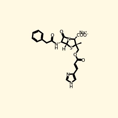 C[C@@]1(COC(=O)/C=C/c2c[nH]cn2)S[C@@H]2[C@H](NC(=O)Cc3ccccc3)C(=O)N2[C@H]1C(=O)[O-].[Na+]